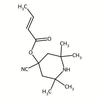 CC=CC(=O)OC1(C#N)CC(C)(C)NC(C)(C)C1